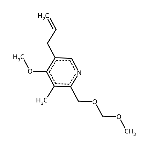 C=CCc1cnc(COCOC)c(C)c1OC